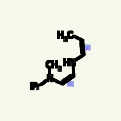 C/C=C\N/C=C\N(C)C(C)C